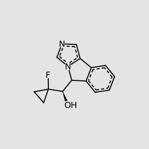 O[C@H](C1c2ccccc2-c2cncn21)C1(F)CC1